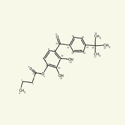 CCCC(=O)Oc1ccc(C(=O)c2ccc(C(C)(C)C)cc2)c(O)c1O